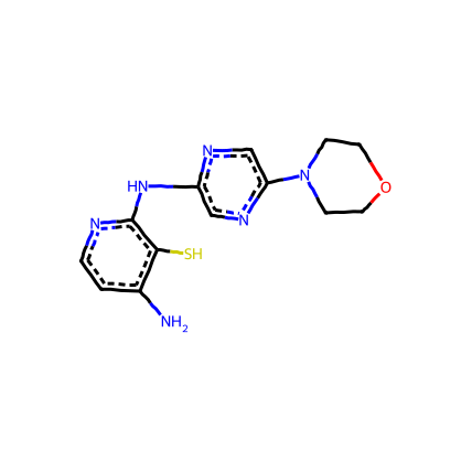 Nc1ccnc(Nc2cnc(N3CCOCC3)cn2)c1S